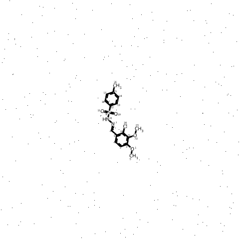 COc1ccc(C=NNS(=O)(=O)c2ccc(C)cc2)c(Cl)c1OC